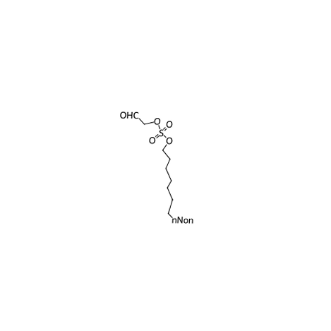 CCCCCCCCCCCCCCCCOS(=O)(=O)OCC=O